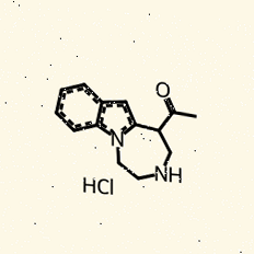 CC(=O)C1CNCCn2c1cc1ccccc12.Cl